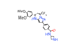 COc1ccc([C@@H]2C[C@H](C(F)(F)F)n3nc(-c4ccc(C(=O)NC5CNC5)cc4)cc3N2)cc1OC